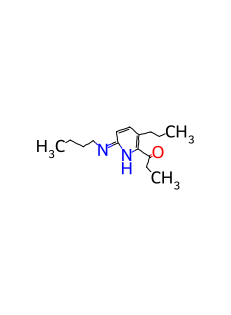 CCCCN=c1ccc(CCC)c(C(=O)CC)[nH]1